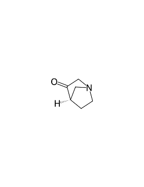 O=C1CN2CC[C@@H]1C2